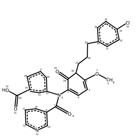 COC1=CC=C(N(C(=O)c2cccnc2)c2cccc(C(=O)O)c2)C(=O)C1CCCc1ccc(Cl)cc1